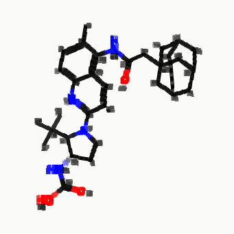 Cc1ccc2nc(N3CC[C@H](NC(=O)O)C3C(C)(C)C)ccc2c1NC(=O)CC12CC3CC(CC(C3)C1)C2